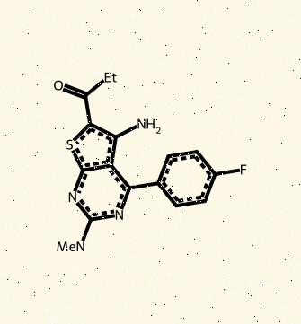 CCC(=O)c1sc2nc(NC)nc(-c3ccc(F)cc3)c2c1N